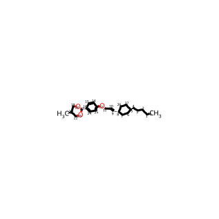 CCCCC[C@H]1CC[C@H](C=CCOc2ccc([C@H]3OC[C@H](C)CO3)cc2)CC1